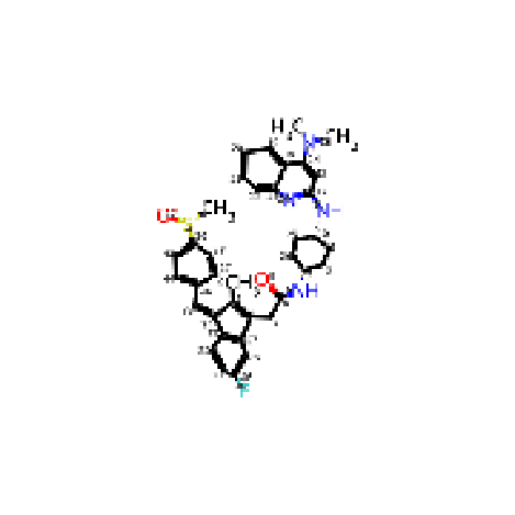 CC1=C(CC(=O)N[C@H]2CC[C@@H](Nc3cc(N(C)C)c4ccccc4n3)CC2)c2cc(F)ccc2/C1=C/c1ccc([S+](C)[O-])cc1